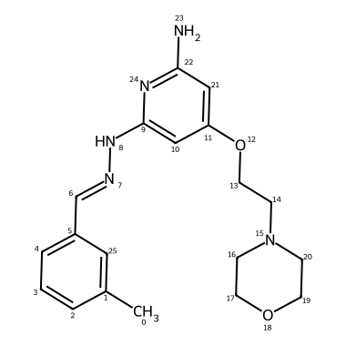 Cc1cccc(C=NNc2cc(OCCN3CCOCC3)cc(N)n2)c1